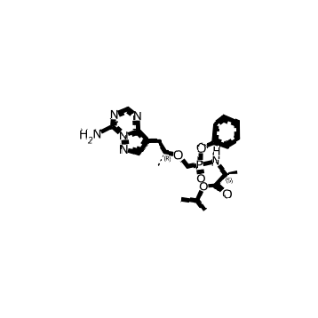 CC(C)OC(=O)[C@H](C)NP(=O)(CO[C@H](C)Cc1cnn2c(N)ncnc12)Oc1ccccc1